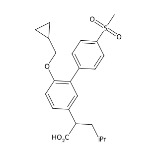 CC(C)CC(C(=O)O)c1ccc(OCC2CC2)c(-c2ccc(S(C)(=O)=O)cc2)c1